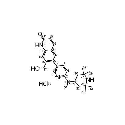 CN(c1ccc(-c2cc3ccc(=O)[nH]c3cc2CO)nn1)C1CC(C)(C)NC(C)(C)C1.Cl